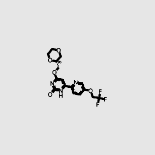 O=c1nc(OC[C@H]2COCCO2)cc(-c2ccc(OCC(F)(F)F)cn2)[nH]1